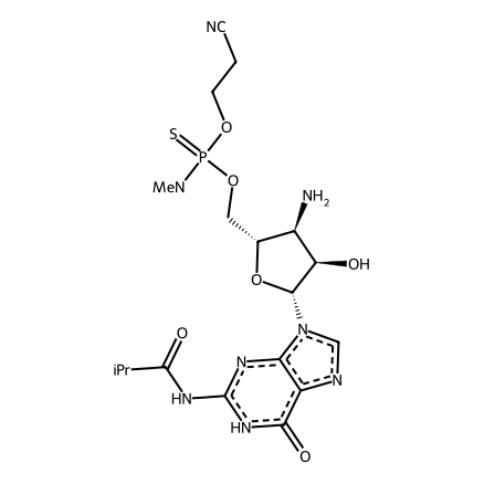 CNP(=S)(OCCC#N)OC[C@H]1O[C@@H](n2cnc3c(=O)[nH]c(NC(=O)C(C)C)nc32)[C@H](O)[C@@H]1N